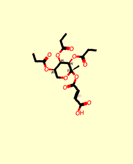 CCC(=O)O[C@H]1[C@@H](OC(=O)CC)[C@](C)(OC(=O)/C=C/C(=O)O)OC[C@H]1OC(=O)CC